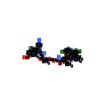 COc1cc(C(=O)NCCOCCOCCN(C)C(=O)CCNc2nc(N3CCNCC3)c3cc(Cl)c(C4=C(F)C=C[C@@H](CO)[C@@H]4C)c(F)c3n2)ccc1NC(=O)[C@@H]1N[C@@H](CC(C)(C)C)[C@](C#N)(c2ccc(Cl)cc2F)[C@H]1c1cccc(Cl)c1F